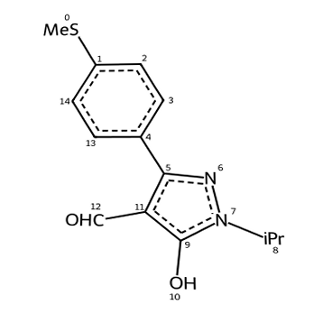 CSc1ccc(-c2nn(C(C)C)c(O)c2C=O)cc1